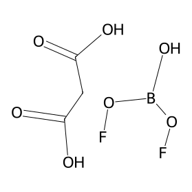 O=C(O)CC(=O)O.OB(OF)OF